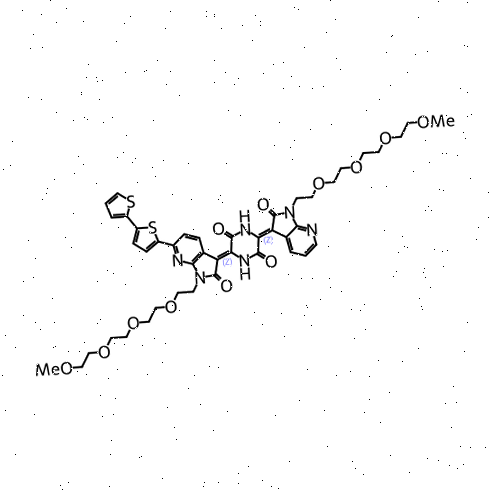 COCCOCCOCCOCCN1C(=O)/C(=c2\[nH]c(=O)/c(=C3/C(=O)N(CCOCCOCCOCCOC)c4nc(-c5ccc(-c6cccs6)s5)ccc43)[nH]c2=O)c2cccnc21